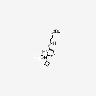 CN(C1CCC1)C1C=NC=C(CNCCCC(C)(C)C)N1